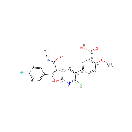 CNC(=O)c1c(-c2ccc(F)cc2)oc2nc(Cl)c(-c3ccc(OC)c(C(=O)O)c3)cc12